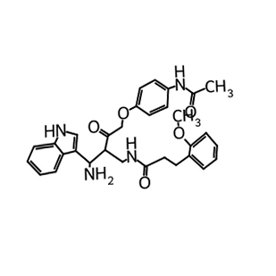 COc1ccccc1CCC(=O)NCC(C(=O)COc1ccc(NC(C)=O)cc1)C(N)c1c[nH]c2ccccc12